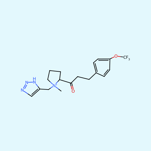 C[N+]1(Cc2cnn[nH]2)CCCC1C(=O)CCc1ccc(OC(F)(F)F)cc1